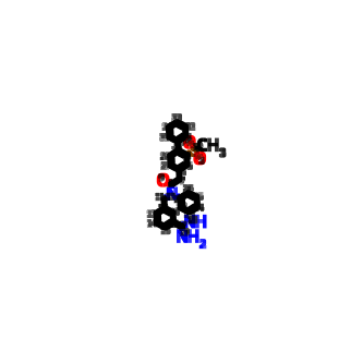 CS(=O)(=O)c1cc(CC(=O)N(Cc2cccc(C(=N)N)c2)c2ccccc2)ccc1-c1ccccc1